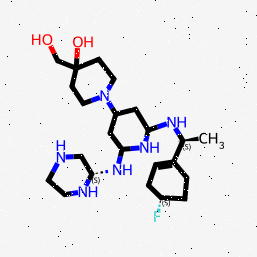 C[C@H](NC1CC(N2CCC(O)(CO)CC2)CC(N[C@H]2CNCCN2)N1)C1=CC[C@@H](F)CC1